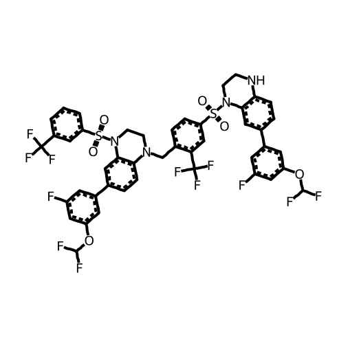 O=S(=O)(c1ccc(CN2CCN(S(=O)(=O)c3cccc(C(F)(F)F)c3)c3cc(-c4cc(F)cc(OC(F)F)c4)ccc32)c(C(F)(F)F)c1)N1CCNc2ccc(-c3cc(F)cc(OC(F)F)c3)cc21